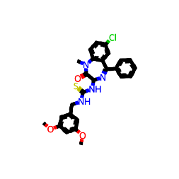 COc1cc(CNC(=S)NC2N=C(c3ccccc3)c3cc(Cl)ccc3N(C)C2=O)cc(OC)c1